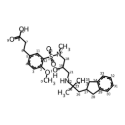 COc1ccc(CCC(=O)O)cc1S(=O)(=O)N(C)CC(O)CNC(C)(C)CC1Cc2ccccc2C1